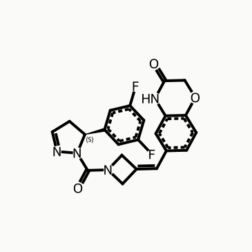 O=C1COc2ccc(C=C3CN(C(=O)N4N=CC[C@H]4c4cc(F)cc(F)c4)C3)cc2N1